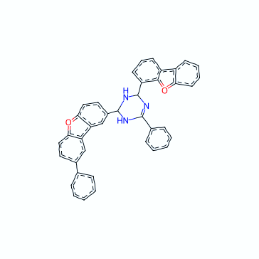 c1ccc(C2=NC(c3cccc4c3oc3ccccc34)NC(c3ccc4oc5ccc(-c6ccccc6)cc5c4c3)N2)cc1